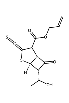 C=CCOC(=O)C1C(=C=S)S[C@@H]2[C@@H](C(C)O)C(=O)N12